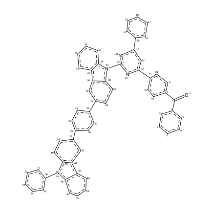 O=C(c1ccccc1)c1ccc(-c2cc(-c3ccccc3)nc(-n3c4ccccc4c4cc(-c5ccc(-c6ccc7c(c6)c6ccccc6n7-c6ccccc6)cc5)ccc43)n2)cc1